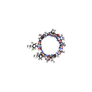 CCC[C@H]1C(=O)N[C@@H]([C@@H](C)CC)C(=O)N2CCC[C@H]2C(=O)N(C)[C@H]2C/C=C\CCN(C2=O)[C@@H](Cc2ccc(C(F)(F)F)cc2)C(=O)N(C)CC(=O)N[C@@H](CCc2cc(F)c(C(F)(F)F)c(F)c2)C(=O)N2CCC[C@H]2C(=O)N(C)C2(CCC2)C(=O)N(C)[C@@H](C2CCCC2)C(=O)N(C)[C@H](C(=O)N2CCCC2)CC(=O)N1C